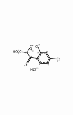 CCc1ccc(C(=S)N(C)C(=O)O)c(Cl)c1.Cl